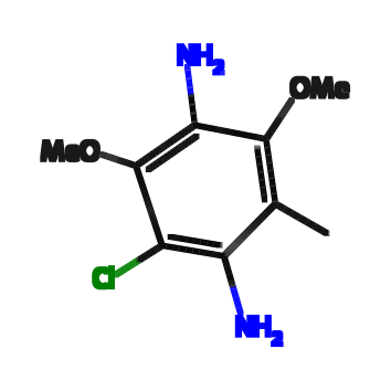 COc1c(C)c(N)c(Cl)c(OC)c1N